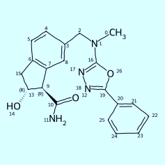 CN(Cc1ccc2c(c1)[C@@H](C(N)=O)[C@H](O)C2)c1nnc(-c2ccccc2)o1